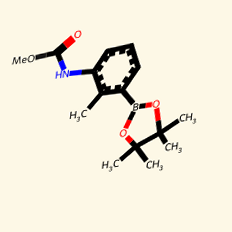 COC(=O)Nc1cccc(B2OC(C)(C)C(C)(C)O2)c1C